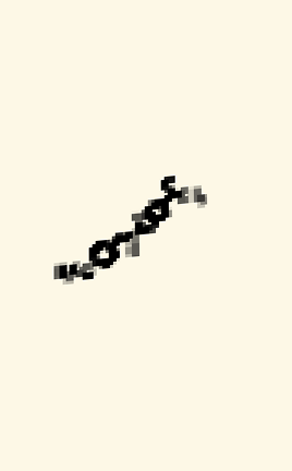 COc1ccc(CNc2nc3sc(C(C)=O)cc3s2)cc1